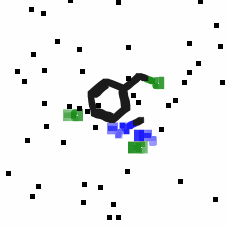 CN.Cl.Cl.ClCc1ccccc1.N